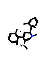 Cc1ccccc1C1C=C(c2c(C)cccc2C)C([SiH](C)C)=CN1C